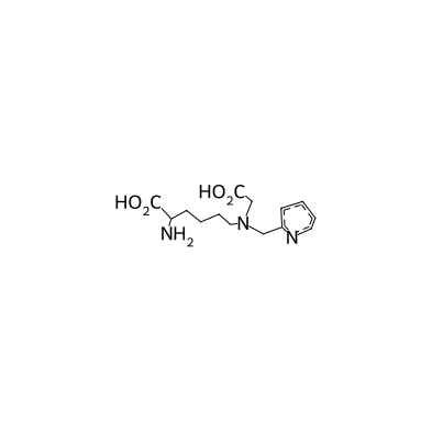 NC(CCCCN(CC(=O)O)Cc1ccccn1)C(=O)O